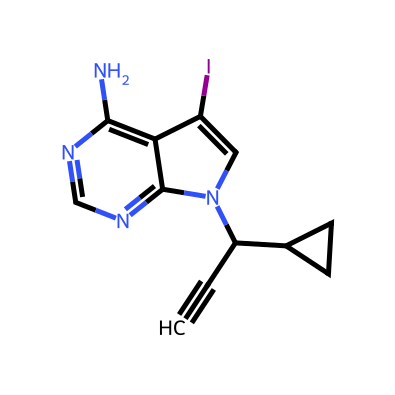 C#CC(C1CC1)n1cc(I)c2c(N)ncnc21